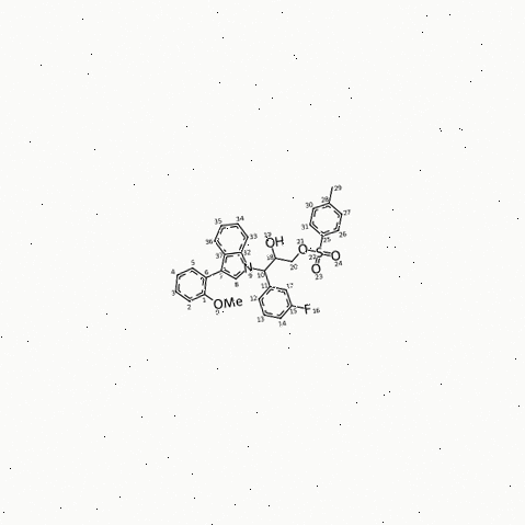 COc1ccccc1-c1cn(C(c2cccc(F)c2)C(O)COS(=O)(=O)c2ccc(C)cc2)c2ccccc12